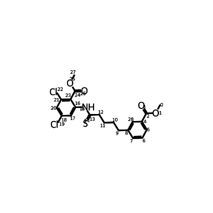 COC(=O)c1cccc(CCCCC(=S)Nc2cc(Cl)cc(Cl)c2C(=O)OC)c1